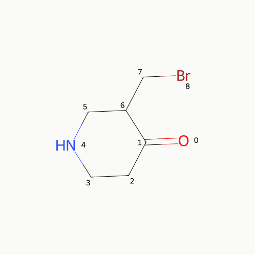 O=C1CCNCC1CBr